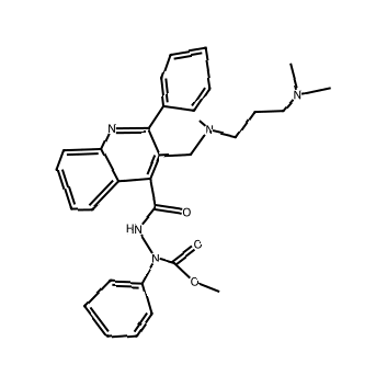 COC(=O)N(NC(=O)c1c(CN(C)CCCN(C)C)c(-c2ccccc2)nc2ccccc12)c1ccccc1